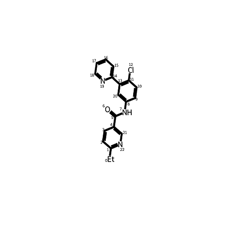 CCc1ccc(C(=O)Nc2ccc(Cl)c(-c3ccccn3)c2)cn1